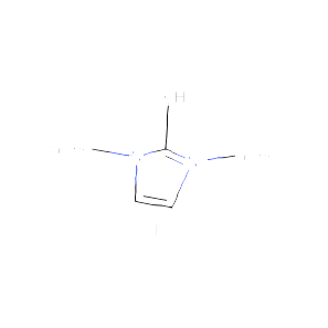 CCCCCCCCCCn1cc[n+](CCCCCCCCCC)c1C.[Cl-]